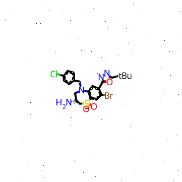 CC(C)(C)c1nnc(-c2cc3c(cc2Br)S(=O)(=O)C[C@H](N)CN3Cc2ccc(Cl)cc2)o1